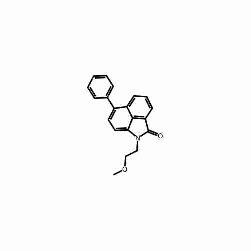 COCCN1C(=O)c2cccc3c(-c4ccccc4)ccc1c23